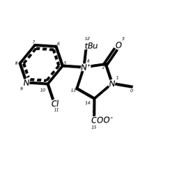 CN1C(=O)[N+](c2cccnc2Cl)(C(C)(C)C)CC1C(=O)[O-]